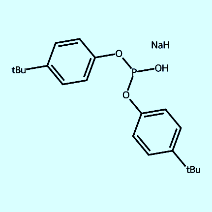 CC(C)(C)c1ccc(OP(O)Oc2ccc(C(C)(C)C)cc2)cc1.[NaH]